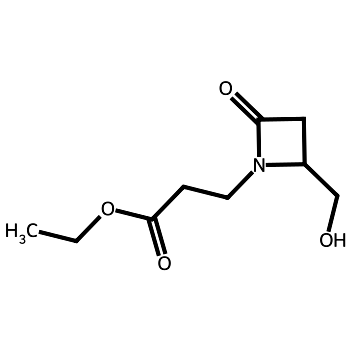 CCOC(=O)CCN1C(=O)CC1CO